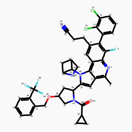 Cc1nc2c(F)c(-c3cccc(Cl)c3Cl)c(CCC#N)cc2c2c1cc(C1CC(OCc3ccccc3C(F)(F)F)CN1C(=O)C1CC1)n2C1C2CNC1C2